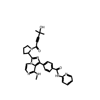 CNc1nccn2c(C3CCCN3C(=O)C#CC(C)(C)O)nc(-c3ccc(C(=O)Nc4ccccn4)cc3)c12